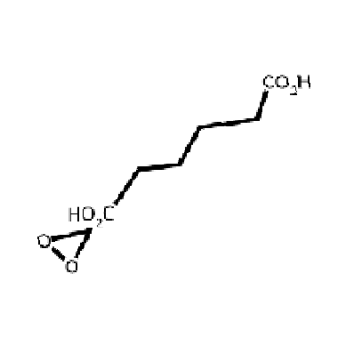 C1OO1.O=C(O)CCCCC(=O)O